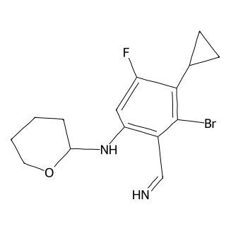 N=Cc1c(NC2CCCCO2)cc(F)c(C2CC2)c1Br